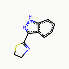 c1ccc2c(C3=NCCS3)n[nH]c2c1